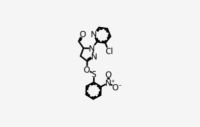 O=CC1CC(OSc2ccccc2[N+](=O)[O-])=NN1c1ncccc1Cl